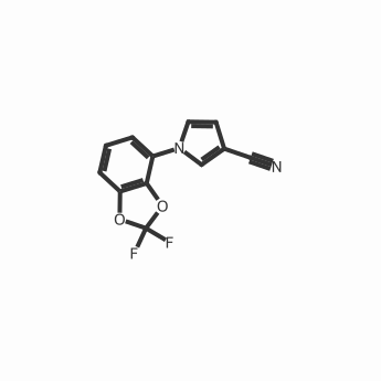 N#Cc1ccn(-c2cccc3c2OC(F)(F)O3)c1